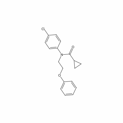 O=C(C1CC1)N(CCOc1ccccc1)c1ccc(Cl)cc1